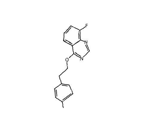 Cc1ccc(CCOc2ncnc3c(F)cccc23)cc1